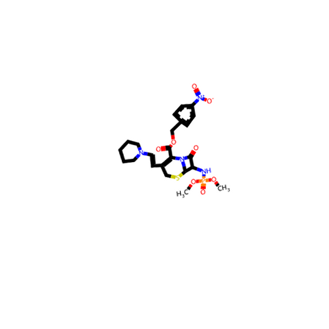 COP(=O)(NC1C(=O)N2C(C(=O)OCc3ccc([N+](=O)[O-])cc3)=C(C=CN3CCCCC3)CSC12)OC